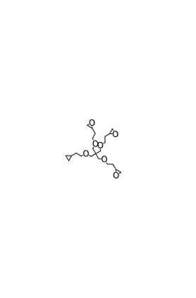 C(CC1CC1)OCC(COCCC1CO1)(COCCC1CO1)COCCC1CO1